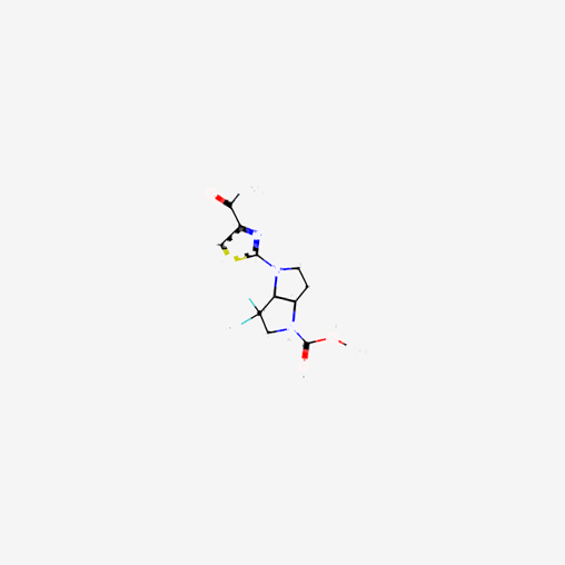 COC(=O)c1csc(N2CCC3C2C(F)(F)CN3C(=O)OC(C)(C)C)n1